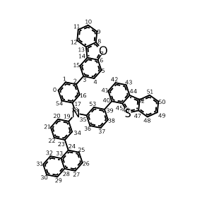 c1cc(-c2ccc3oc4ccccc4c3c2)cc(N(c2cccc(-c3cccc4ccccc34)c2)c2cccc(-c3cccc4c3sc3ccccc34)c2)c1